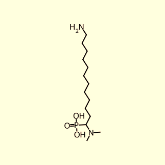 CN(C)C(CCCCCCCCCCCN)P(=O)(O)O